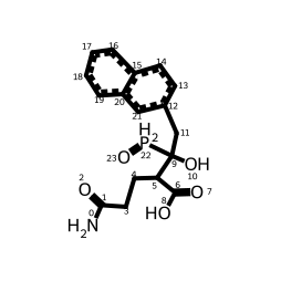 NC(=O)CCC(C(=O)O)C(O)(Cc1ccc2ccccc2c1)[PH2]=O